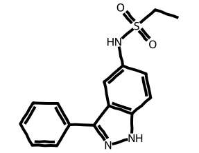 CCS(=O)(=O)Nc1ccc2[nH]nc(-c3ccccc3)c2c1